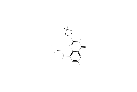 Cc1cc(C(C)N[S@+]([O-])C(C)(C)C)c2nc(N3CC(F)(F)C3)n(C)c(=O)c2c1